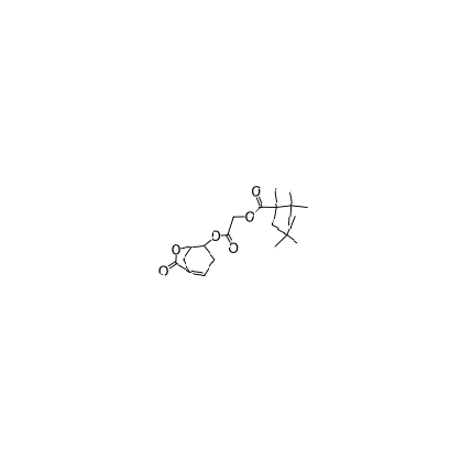 CC(C)(C)CC(C)(C(=O)OCC(=O)OC1CC=C2CC1OC2=O)C(C)(C)C